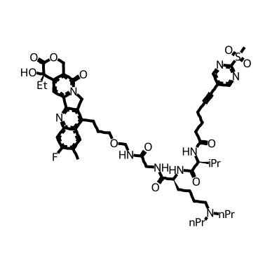 CCCN(CCC)CCCC[C@H](NC(=O)[C@@H](NC(=O)CCCC#Cc1cnc(S(C)(=O)=O)nc1)C(C)C)C(=O)NCC(=O)NCOCCCc1c2c(nc3cc(F)c(C)cc13)-c1cc3c(c(=O)n1C2)COC(=O)[C@]3(O)CC